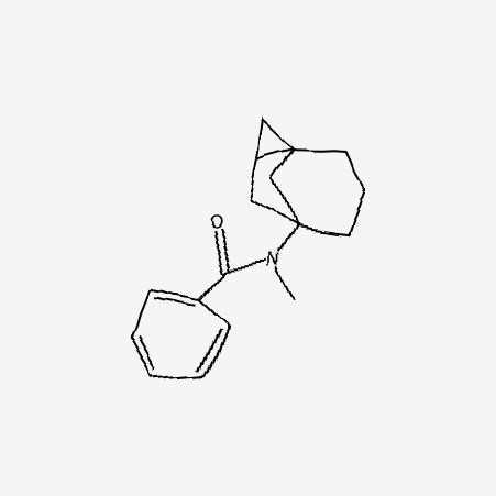 CN(C(=O)c1ccccc1)C12CCCC3(CC3C1)C2